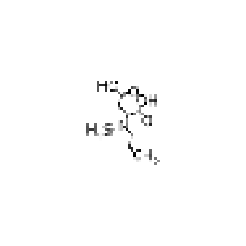 C=CCN([SiH3])[C@@H](CC(=O)O)C(=O)O